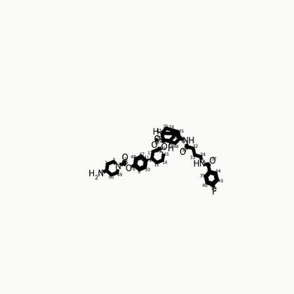 NC1CCN(C(=O)Oc2ccc([C@@H]3CCC[C@]4(C3)OO[C@@]3(O4)[C@@H]4CC5C[C@H]3CC(NC(=O)CCCNC(=O)c3ccc(F)cc3)(C5)C4)cc2)CC1